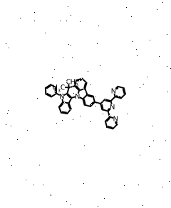 CC1(C)c2cccc3c4cc(-c5cc(-c6ccccn6)nc(-c6ccccn6)c5)ccc4n(c23)-c2c1n(-c1ccccc1)c1ccccc21